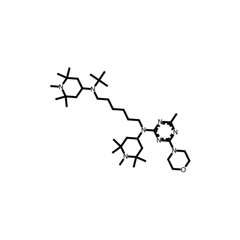 Cc1nc(N2CCOCC2)nc(N(CCCCCCN(C2CC(C)(C)N(C)C(C)(C)C2)C(C)(C)C)C2CC(C)(C)N(C)C(C)(C)C2)n1